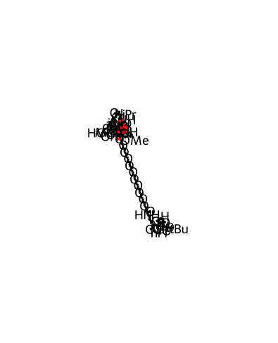 CCCNC(=O)[C@H](CCCCNC(=O)CCOCCOCCOCCOCCOCCOCCOCCOCCOCCOCCOCCOC(=O)Nc1cc(COC(=O)N(C)[C@H](C(=O)N[C@H](C(=O)N(C)[C@@H]([C@@H](C)CC)[C@@H](CC(=O)N2CCC[C@@H]2[C@H](OC)[C@@H](C)C(=O)N[C@H](C)[C@@H](O)c2ccccc2)OC)C(C)C)C(C)C)ccc1O[C@@H]1OC[C@H](O)[C@H](O)[C@H]1O)NC(=O)[C@H](CNC(=O)OC(C)(C)C)N1C(=O)C=CC1=O